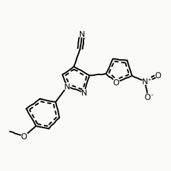 COc1ccc(-n2cc(C#N)c(-c3ccc([N+](=O)[O-])o3)n2)cc1